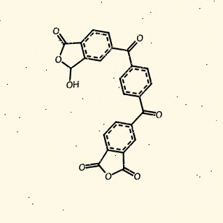 O=C(c1ccc(C(=O)c2ccc3c(c2)C(O)OC3=O)cc1)c1ccc2c(c1)C(=O)OC2=O